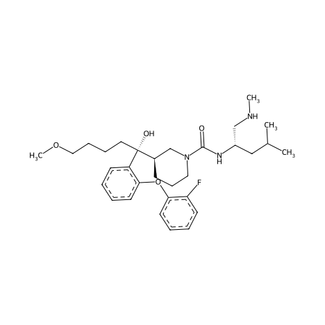 CNC[C@H](CC(C)C)NC(=O)N1CCC[C@@H]([C@](O)(CCCCOC)c2ccccc2Oc2ccccc2F)C1